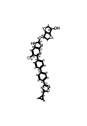 O[C@@H]1COC2C1OC[C@H]2Oc1nc2nc(-c3ccc(-c4ccc(-c5noc(C6CC6)n5)cc4)cc3)c(Cl)cc2[nH]1